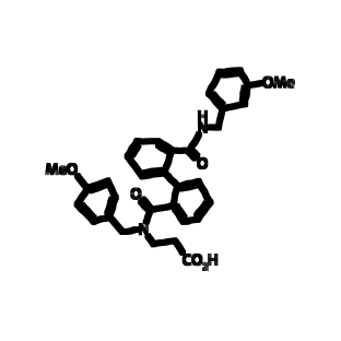 COc1ccc(CN(CCC(=O)O)C(=O)c2ccccc2-c2ccccc2C(=O)NCc2cccc(OC)c2)cc1